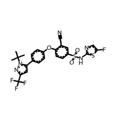 CC(C)(C)n1nc(C(F)(F)F)cc1-c1ccc(Oc2ccc(S(=O)(=O)Nc3ncc(F)s3)cc2C#N)cc1